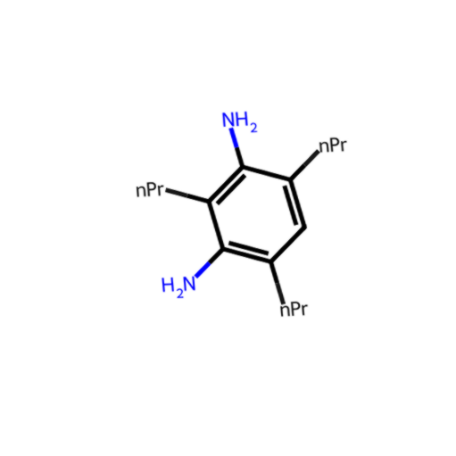 CCCc1cc(CCC)c(N)c(CCC)c1N